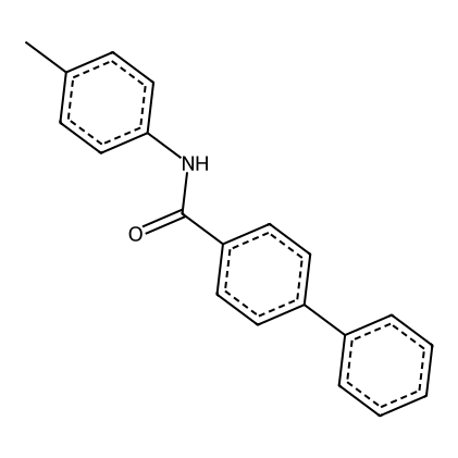 Cc1ccc(NC(=O)c2ccc(-c3ccccc3)cc2)cc1